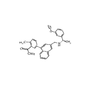 CCOc1cccc([C@@H](C)NCc2cc(-c3ccc(C)c(C(=O)OC)c3)c3ccccc3c2)c1